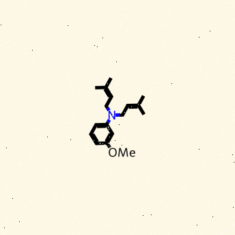 COc1cccc(N(CC=C(C)C)CC=C(C)C)c1